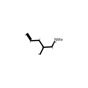 C=CCC(C)CNC